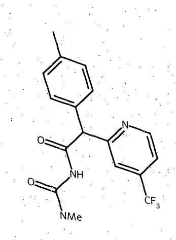 CNC(=O)NC(=O)C(c1ccc(C)cc1)c1cc(C(F)(F)F)ccn1